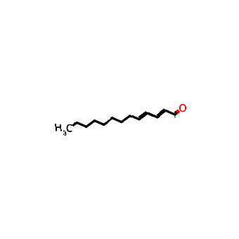 CCCCCCCCC=CC=C[C]=O